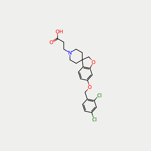 O=C(O)CCN1CCC2(CC1)COc1cc(OCc3ccc(Cl)cc3Cl)ccc12